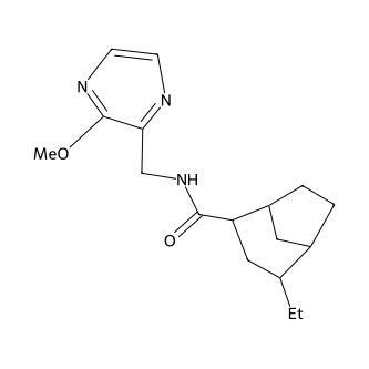 CCC1CC(C(=O)NCc2nccnc2OC)C2CCC1C2